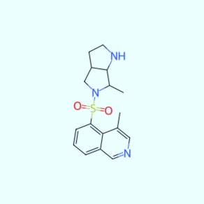 Cc1cncc2cccc(S(=O)(=O)N3CC4CCNC4C3C)c12